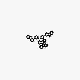 CC1(C)c2ccccc2-c2ccc(-c3ccc(N(c4cccc(-c5cccc6c5sc5ccccc56)c4)c4cccc5c4-c4ccccc4C5(c4ccccc4)c4ccccc4)cc3)cc21